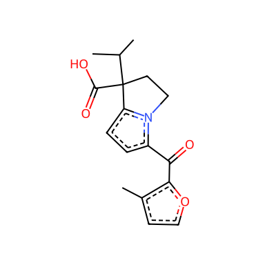 Cc1ccoc1C(=O)c1ccc2n1CCC2(C(=O)O)C(C)C